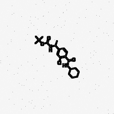 CC(NC(=O)OC(C)(C)C)c1ccc(C(=O)NC2CCCCC2)c(Cl)c1